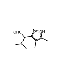 Cc1[nH]nc(C([C]=O)N(C)C)c1C